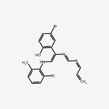 C=C\C=N/C=N/C(=C/Nc1c(C)cccc1CC)c1cc(Br)ccc1O